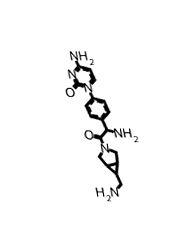 NCC1C2CN(C(=O)C(N)c3ccc(-n4ccc(N)nc4=O)cc3)CC12